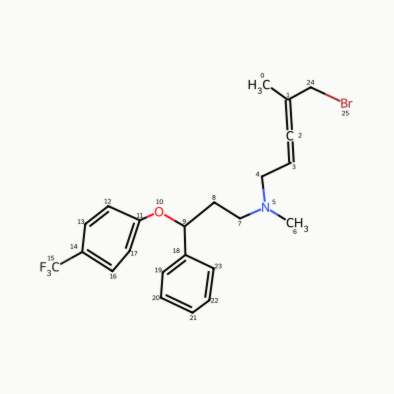 CC(=C=CCN(C)CCC(Oc1ccc(C(F)(F)F)cc1)c1ccccc1)CBr